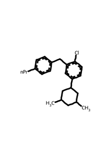 CCCc1ccc(Cc2cc(C3CC(C)CC(C)C3)ccc2Cl)cc1